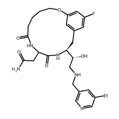 CCc1cncc(CNC[C@@H](O)[C@@H]2Cc3cc(F)cc(c3)OCCCCC(=O)NC(CC(N)=O)C(=O)N2)c1